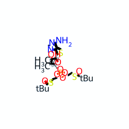 C[C@@H]1[C@@H](COP(=O)(OCCSC(=O)C(C)(C)C)OCCSC(=O)C(C)(C)C)O[C@@H](c2scc3c(N)ncnc23)[C@]1(C)O